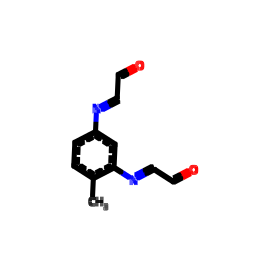 Cc1ccc(N=CC=O)cc1N=CC=O